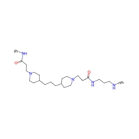 CCCNCCCNC(=O)CCN1CCC(CCCC2CCN(CCC(=O)NC(C)C)CC2)CC1